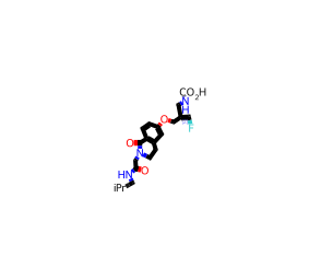 CC(C)CNC(=O)CN1CCc2cc(OC/C(=C\F)CNC(=O)O)ccc2C1=O